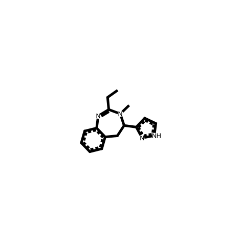 CCC1=Nc2ccccc2CC(c2cc[nH]n2)N1C